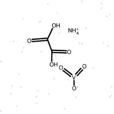 O=C(O)C(=O)O.[NH4+].[O]=[V](=[O])[O-]